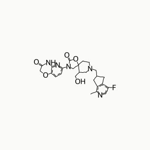 Cc1ncc(F)c2c1CC(CN1CCC3(CN(c4ccc5c(n4)NC(=O)CO5)C(=O)O3)C(CO)C1)C2